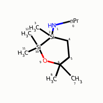 CCCN[Si]1(C)CCC(C)(C)O[Si]1(C)C